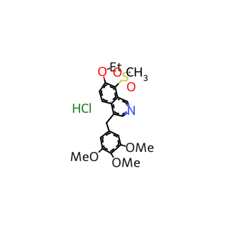 CCOc1ccc2c(Cc3cc(OC)c(OC)c(OC)c3)cncc2c1S(C)(=O)=O.Cl